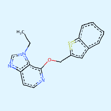 CCn1cnc2ccnc(OCc3cc4ccccc4s3)c21